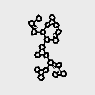 c1ccc(-c2cccc3c2sc2c(-c4cc(-c5cc(-c6ccc7c8ccccc8c8cc(-c9cc(-c%10ccc%11c%12ccccc%12c%12ccccc%12c%11c%10)c%10sc%11c(-n%12c%13ccccc%13c%13ccccc%13%12)cccc%11c%10c9)ccc8c7c6)cc(-c6cccc7c6sc6ccccc67)c5)cc(-c5ccc6c7ccccc7c7ccccc7c6c5)c4)cccc23)cc1